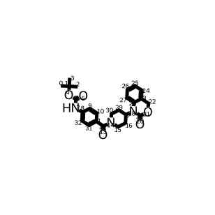 CC(C)(C)OC(=O)Nc1ccc(C(=O)N2CCC(N3C(=O)OCc4ccccc43)CC2)cc1